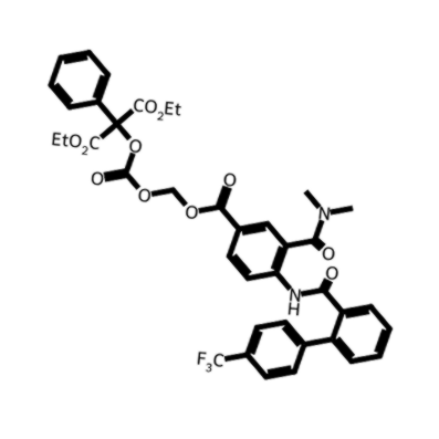 CCOC(=O)C(OC(=O)OCOC(=O)c1ccc(NC(=O)c2ccccc2-c2ccc(C(F)(F)F)cc2)c(C(=O)N(C)C)c1)(C(=O)OCC)c1ccccc1